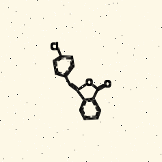 O=C1OC(=Cc2ccc(Cl)cc2)c2ccccc21